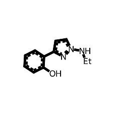 CCNn1ccc(-c2ccccc2O)n1